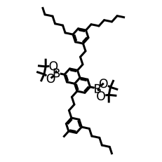 CCCCCCc1cc(C)cc(CCCc2cc(B3OC(C)(C)C(C)(C)O3)cc3c(CCCc4cc(CCCCCC)cc(CCCCCC)c4)cc(B4OC(C)(C)C(C)(C)O4)cc23)c1